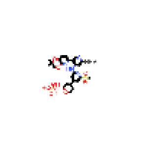 CC(=O)Nc1cc(Nc2cc(C3CCOCC3)cc(S(C)(=O)=O)n2)c(-c2ccc3c(n2)OCC(C)(C)O3)cn1.O=P(O)(O)O